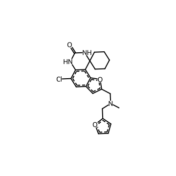 CN(Cc1ccco1)Cc1cc2cc(Cl)c3c(c2o1)C1(CCCCC1)NC(=O)N3